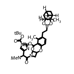 CNC(C(=O)N1CC(Oc2ccc(CCB3O[C@@H]4C[C@@H]5C[C@@H](C5(C)C)[C@]4(C)O3)c(C)c2C(=O)OC(C)(C)C)C1)c1cn(C(=O)OC(C)(C)C)cn1